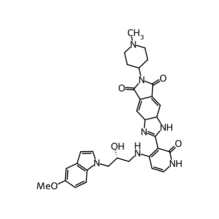 COc1ccc2c(ccn2C[C@H](O)CNc2cc[nH]c(=O)c2C2=NC3C=C4C(=O)N(C5CCN(C)CC5)C(=O)C4=CC3N2)c1